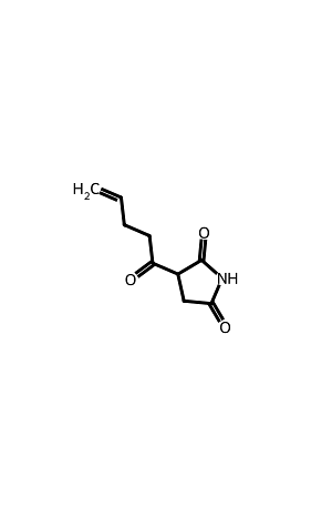 C=CCCC(=O)C1CC(=O)NC1=O